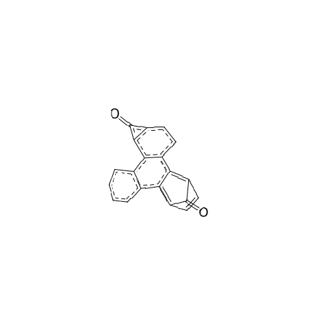 O=C1C2=c3c(c4ccc5c(=O)c5c4c4ccccc34)=C1C=C2